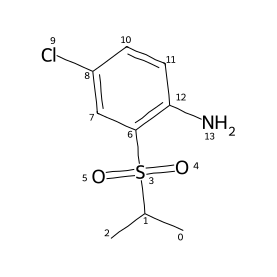 CC(C)S(=O)(=O)c1cc(Cl)ccc1N